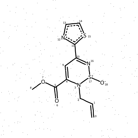 C=CCN1C(C(=O)OC)=CC(c2nccs2)=N[S+]1[O-]